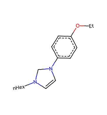 CCCCCCN1C=CN(c2ccc(OCC)cc2)C1